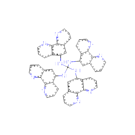 c1cnc2c(c1)cc(NC(Nc1cc3cccnc3c3ncccc13)(Nc1cc3cccnc3c3ncccc13)Nc1cc3cccnc3c3ncccc13)c1cccnc12